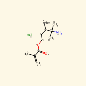 C=C(C)C(=O)OCCC(CCCCCC)C(C)(C)N.Cl